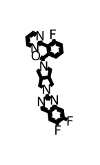 O=C(c1cccc(F)c1-c1ncccn1)N1CC2CN(c3ncc4cc(F)c(F)cc4n3)CC2C1